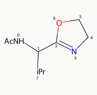 CC(=O)NC(C1=NCCO1)C(C)C